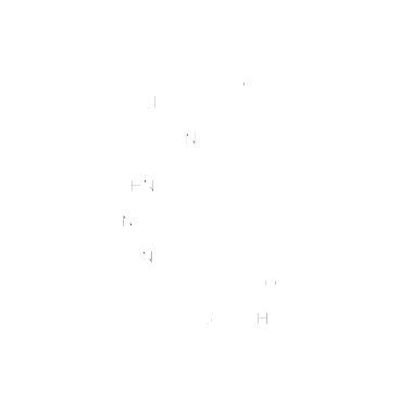 CSc1cc(-c2cc(NCCn3c(C)cc4c(Cl)ccc(Cl)c43)ncn2)cc(F)c1C(=O)O